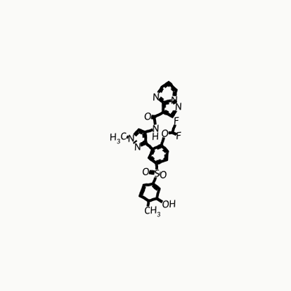 CC1C=CC(S(=O)(=O)c2ccc(OC(F)F)c(-c3nn(C)cc3NC(=O)c3cnn4cccnc34)c2)=CC1O